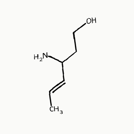 CC=CC(N)CCO